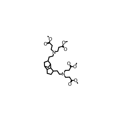 COC(=O)CCN(CCC(=O)OC)CCC1CC2CC1C1C(CCN(CCC(=O)OC)CCC(=O)OC)CCC21